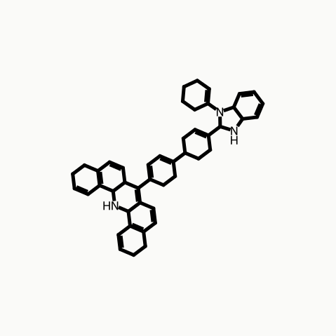 C1=CC2NC(C3=CCC(C4=CC=C(C5=C6C=CC7=C(C=CCC7)C6NC6C7=C(C=CC56)CCC=C7)CC4)CC3)N(C3=CCCCC3)C2C=C1